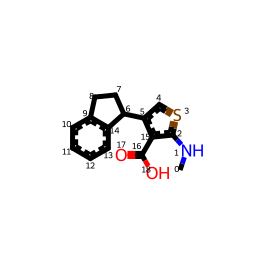 CNc1scc(C2CCc3ccccc32)c1C(=O)O